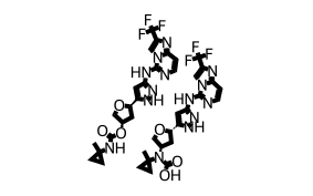 CC1(N(C(=O)O)[C@H]2CO[C@H](c3cc(Nc4nccc5nc(C(F)(F)F)cn45)n[nH]3)C2)CC1.CC1(NC(=O)O[C@H]2CO[C@@H](c3cc(Nc4nccc5nc(C(F)(F)F)cn45)n[nH]3)C2)CC1